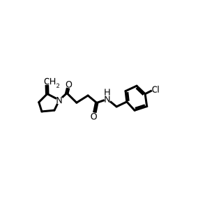 C=C1CCCN1C(=O)CCC(=O)NCc1ccc(Cl)cc1